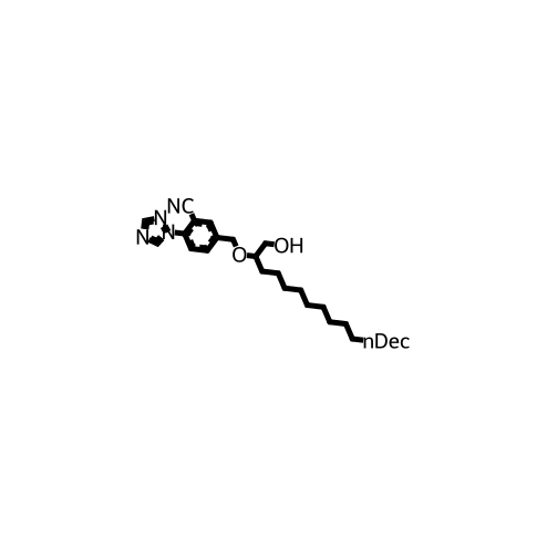 CCCCCCCCCCCCCCCCCCCC(CO)OCc1ccc(-n2cncn2)c(C#N)c1